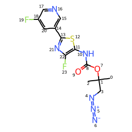 CC(C)(CN=[N+]=[N-])OC(=O)Nc1sc(-c2cncc(F)c2)nc1F